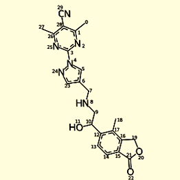 Cc1nc(-n2cc(CNCC(O)c3ccc4c(c3C)COC4=O)cn2)nc(C)c1C#N